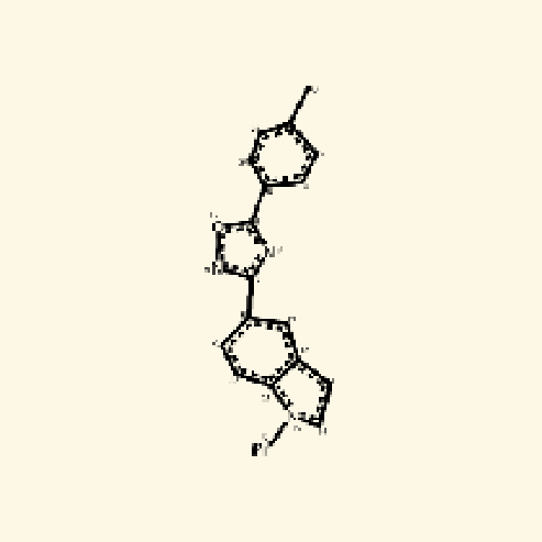 Cc1ccc(-c2nc(-c3ccc4c(ccn4C(C)C)c3)no2)cc1